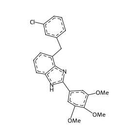 COc1cc(-c2nc3c(Cc4cccc(Cl)c4)cccc3[nH]2)cc(OC)c1OC